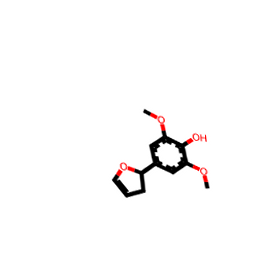 COc1cc(C2CC=CO2)cc(OC)c1O